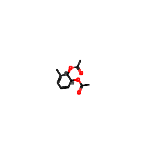 CC(=O)O[C@H]1C=CC=C(C)[C@H]1OC(C)=O